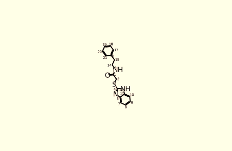 O=C(CSc1nc2ccccc2[nH]1)NCCc1ccccc1